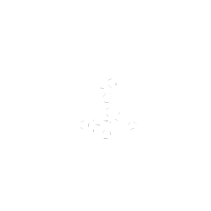 O=C1C(=Cc2nc3c(s2)-c2sc(C=C4C(=O)c5cc(F)c(F)cc5C4=O)nc2C(C(=O)OCc2ccccc2)(C(=O)OCc2ccccc2)O3)C(=O)c2cc(F)c(F)cc21